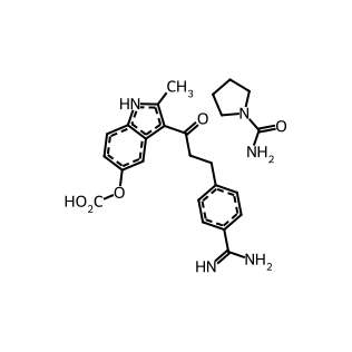 Cc1[nH]c2ccc(OC(=O)O)cc2c1C(=O)CCc1ccc(C(=N)N)cc1.NC(=O)N1CCCC1